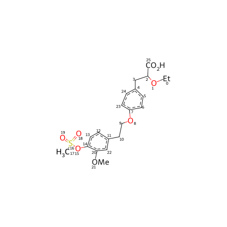 CCOC(Cc1ccc(OCCc2ccc(OS(C)(=O)=O)c(OC)c2)cc1)C(=O)O